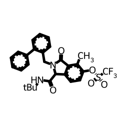 Cc1c(OS(=O)(=O)C(F)(F)F)ccc2c1C(=O)N(Cc1ccccc1-c1ccccc1)C2C(=O)NC(C)(C)C